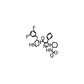 COC(=O)N[C@H]1CCCC[C@@H]1n1cnc(C(=O)N2CCNC[C@H]2Cc2cc(F)cc(F)c2)c1-c1ccccc1